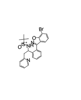 CC(C)(C)[S@+]([O-])NC(Cc1ccccn1)c1ccccc1-c1noc2c(Br)cccc12